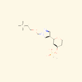 C[Si](C)(C)CCOCn1cc(C2C=C(OS(=O)(=O)C(F)(F)F)CCO2)cn1